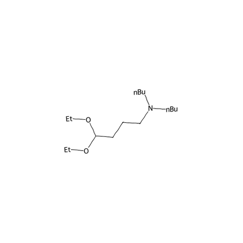 CCCCN(CCCC)CCCC(OCC)OCC